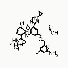 O=CO.[2H]C([2H])([2H])NC(=O)c1ccc(Cl)nc1Nc1cc(COCc2cc(F)cc(N)n2)cc(-c2ncn(C3CC3)n2)c1OC